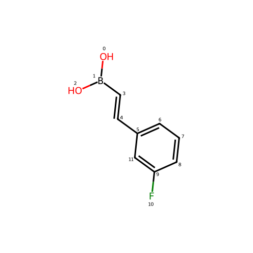 OB(O)C=Cc1cccc(F)c1